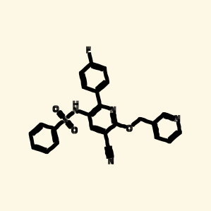 N#Cc1cc(NS(=O)(=O)c2ccccc2)c(-c2ccc(F)cc2)nc1OCc1cccnc1